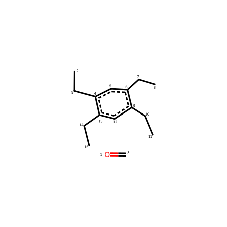 C=O.CCc1cc(CC)c(CC)cc1CC